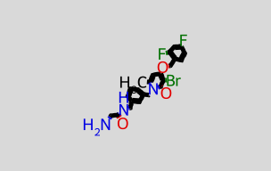 Cc1cc(OCc2ccc(F)cc2F)c(Br)c(=O)n1Cc1cccc(CNC(=O)CN)c1